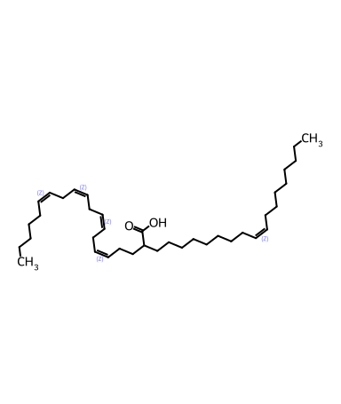 CCCCC/C=C\C/C=C\C/C=C\C/C=C\CCC(CCCCCCCC/C=C\CCCCCCCC)C(=O)O